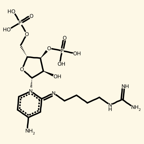 N=C(N)NCCCC/N=c1\cc(N)ccn1[C@@H]1O[C@H](COP(=O)(O)O)[C@@H](OP(=O)(O)O)[C@H]1O